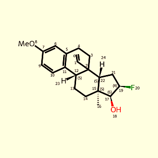 C=CC12CCc3cc(OC)ccc3[C@H]1CC[C@]1(C)[C@H](O)[C@H](F)C[C@@H]21